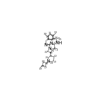 C=C(C)/C(=N\C(=N/C)N1CC([C@H]2CCCN(C3CC(C)C3)C2)C1)N[C@H](C)c1ccc(C)cc1C